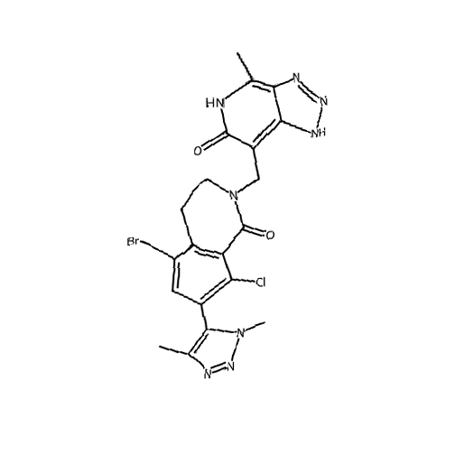 Cc1nnn(C)c1-c1cc(Br)c2c(c1Cl)C(=O)N(Cc1c(=O)[nH]c(C)c3nn[nH]c13)CC2